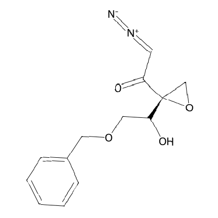 [N-]=[N+]=CC(=O)[C@]1(C(O)COCc2ccccc2)CO1